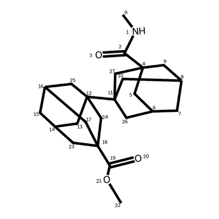 CNC(=O)C12CC3CC(C1)CC(C14CC5CC(CC(C(=O)OC)(C5)C1)C4)(C3)C2